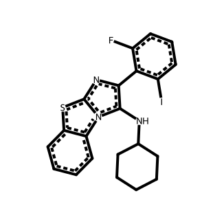 Fc1cccc(I)c1-c1nc2sc3ccccc3n2c1NC1CCCCC1